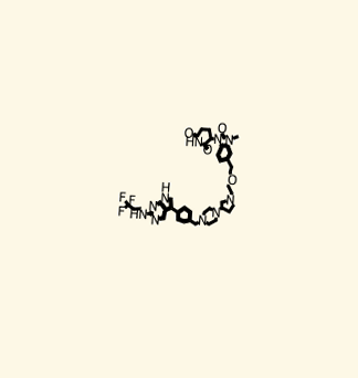 Cn1c(=O)n(C2CCC(=O)NC2=O)c2ccc(CCOCCN3CCC(N4CCN(Cc5ccc(-c6c[nH]c7nc(NCCC(F)(F)F)ncc67)cc5)CC4)C3)cc21